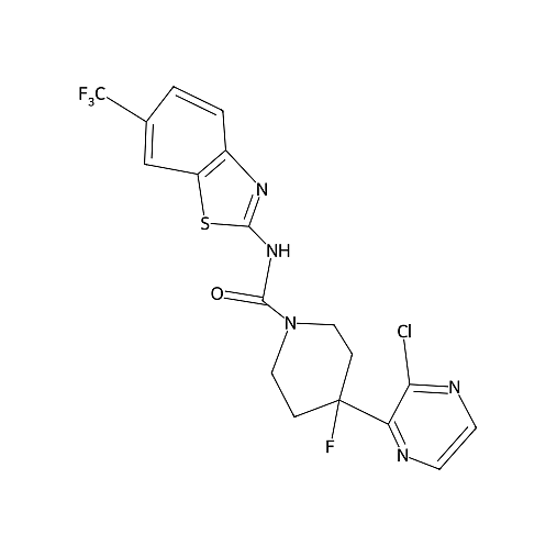 O=C(Nc1nc2ccc(C(F)(F)F)cc2s1)N1CCC(F)(c2nccnc2Cl)CC1